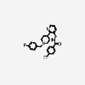 O=C(NCc1cccnc1C1CCN(Cc2ccc(F)cc2)CC1)c1ccc(Cl)cc1